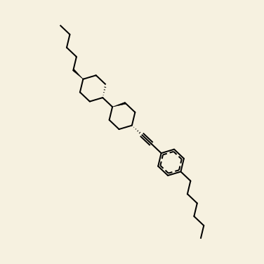 CCCCCCc1ccc(C#C[C@H]2CC[C@H]([C@H]3CC[C@H](CCCCC)CC3)CC2)cc1